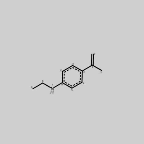 C=C(C)c1ccc(NCC)cc1